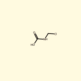 O=C(O)N[CH]Cl